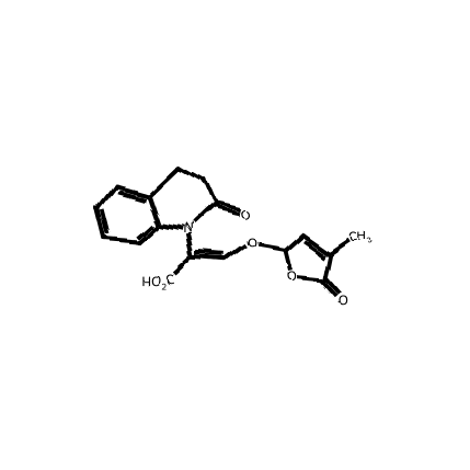 CC1=CC(O/C=C(/C(=O)O)N2C(=O)CCc3ccccc32)OC1=O